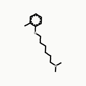 Cc1ccccc1OCCCCCCN(C)C